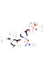 C[C@H]1CN(C(C)(C)C)CC(COP(=O)(N(C)C)N2CC(COP(=O)(N(C)C)C(C)(C)C)O[C@@H](C)C2)O1